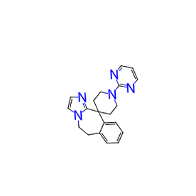 c1cnc(N2CCC3(CC2)c2ccccc2CCn2ccnc23)nc1